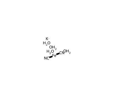 N#[C][Fe][C]#N.O.O.O.O.[K]